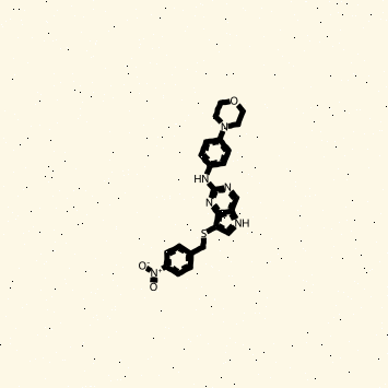 O=[N+]([O-])c1ccc(CSc2c[nH]c3cnc(Nc4ccc(N5CCOCC5)cc4)nc23)cc1